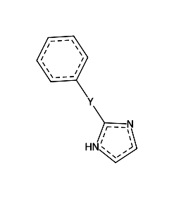 c1cc[c]([Y][c]2ncc[nH]2)cc1